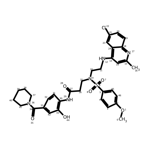 COc1ccc(S(=O)(=O)N(CCNc2cc(C)nc3ccc(Cl)cc23)CCC(=O)Nc2ccc(C(=O)N3CCCCC3)cc2O)cc1